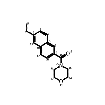 CCc1ccc2cc(C(=O)N3CCOCC3)ccc2c1